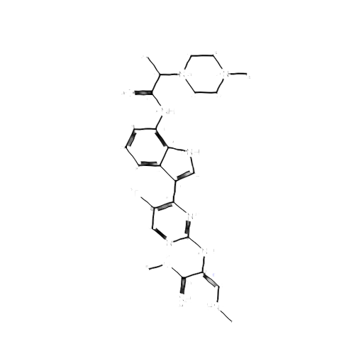 CN/C=C(/Nc1ncc(F)c(-c2c[nH]c3c(NC(=O)C(C)N4CCN(C)CC4)cccc23)n1)C(=N)OC